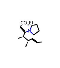 C/C=C/[C@@H](C)[C@@H](C)/C(=C/C(=O)OCC)N1CCCC1